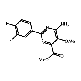 COC(=O)c1nc(-c2ccc(I)c(F)c2)nc(N)c1OC